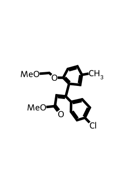 COCOc1ccc(C)cc1/C(=C/C(=O)OC)c1ccc(Cl)cc1